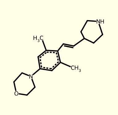 Cc1cc(N2CCOCC2)cc(C)c1/C=C/C1CCNCC1